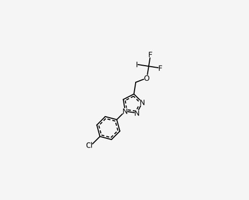 FC(F)(I)OCc1cn(-c2ccc(Cl)cc2)nn1